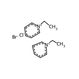 CC[n+]1ccccc1.CC[n+]1ccccc1.[Br-].[Cl-]